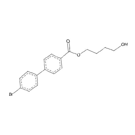 O=C(OCCCCO)c1ccc(-c2ccc(Br)cc2)cc1